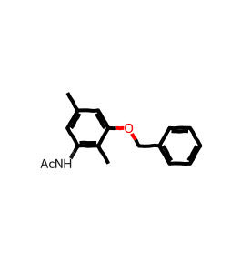 CC(=O)Nc1cc(C)cc(OCc2ccccc2)c1C